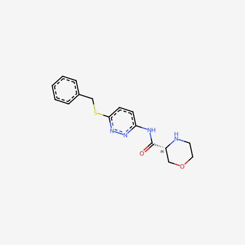 O=C(Nc1ccc(SCc2ccccc2)nn1)[C@H]1COCCN1